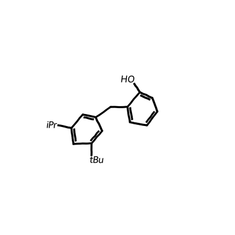 CC(C)c1cc(Cc2ccccc2O)cc(C(C)(C)C)c1